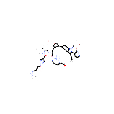 CCn1c(-c2cccnc2[C@H](C)OC)c2c3cc(ccc31)-c1cc(O)cc(c1)C[C@H](NC(=O)[C@H](C(C)C)N(C)C(=O)C1CN(C(=O)/C=C/CN(C)C)C1)C(=O)N1CCC[C@H](N1)C(=O)OCC(C)(C)C2